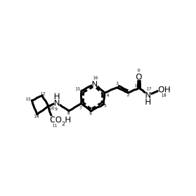 O=C(C=Cc1ccc(CNC2(C(=O)O)CCC2)cn1)NO